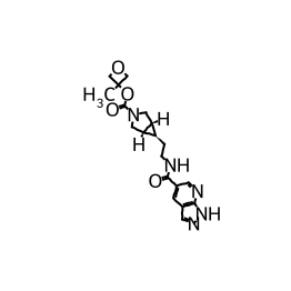 CC1(OC(=O)N2C[C@@H]3[C@@H](CCNC(=O)c4cnc5[nH]ncc5c4)[C@@H]3C2)COC1